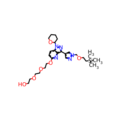 C[Si](C)(C)CCOCn1cc(-c2nn(C3CCCCO3)c3ccc(OCCOCCOCCO)nc23)cn1